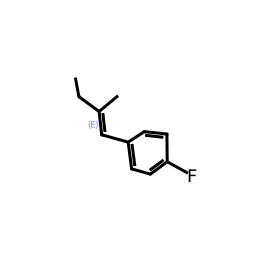 CC/C(C)=C/c1ccc(F)cc1